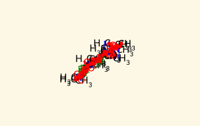 CCCC(C)(CC)NC(=O)c1cc(C(=O)OCC)c(C(=O)NC(C)(CCC)C(CC)(CC)c2ccc(-c3ccc(C(CC)(CC)C(CC)(CCC)N4C(=O)c5ccc(C(c6ccc7c(c6)C(=O)N(C(C)(CC)CC)C7=O)(C(F)(F)F)C(F)(F)F)cc5C4=O)cc3C(F)(F)F)c(C(F)(F)F)c2)cc1C(=O)OCC